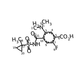 CN(C)c1cc(C(=O)O)c(F)cc1C(=O)NS(=O)(=O)C1(C)CC1